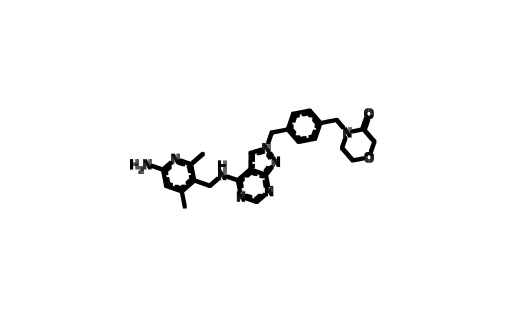 Cc1cc(N)nc(C)c1CNc1ncnc2nn(Cc3ccc(CN4CCOCC4=O)cc3)cc12